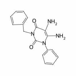 Nc1c(N)n(-c2ccccc2)c(=O)n(Cc2ccccc2)c1=O